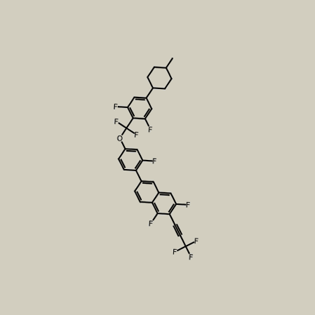 CC1CCC(c2cc(F)c(C(F)(F)Oc3ccc(-c4ccc5c(F)c(C#CC(F)(F)F)c(F)cc5c4)c(F)c3)c(F)c2)CC1